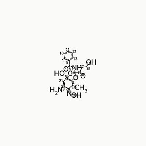 CC1C(OC(NC(=O)c2ccccc2)(C(=O)O)C(=O)CCO)=CC=C(N)C1=NO